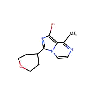 Cc1nccn2c(C3CCOCC3)nc(Br)c12